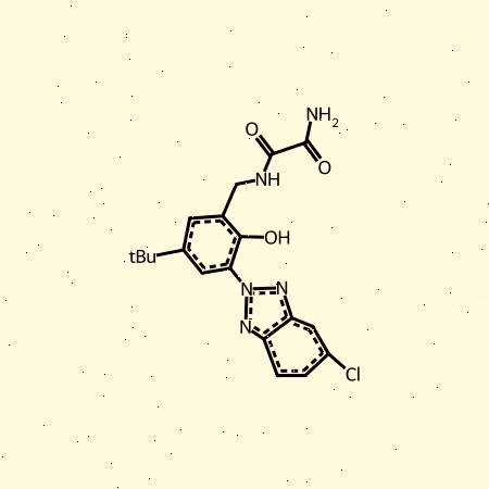 CC(C)(C)c1cc(CNC(=O)C(N)=O)c(O)c(-n2nc3ccc(Cl)cc3n2)c1